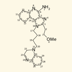 COCCc1nc2c(N)nc3ccccc3c2n1CCCCN1CC=Nc2ccccc21